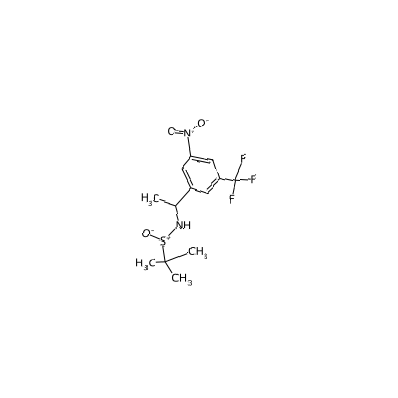 CC(N[S+]([O-])C(C)(C)C)c1cc([N+](=O)[O-])cc(C(F)(F)F)c1